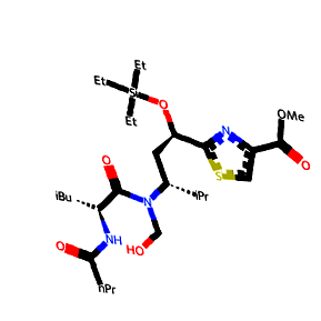 CCCC(=O)N[C@H](C(=O)N(CO)[C@H](C[C@@H](O[Si](CC)(CC)CC)c1nc(C(=O)OC)cs1)C(C)C)[C@@H](C)CC